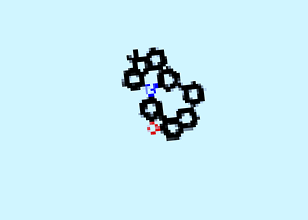 CC1(C)c2ccccc2-c2c(N(C3=CC=CC(c4ccccc4)C3)c3ccc4oc5ccc6ccccc6c5c4c3)cccc21